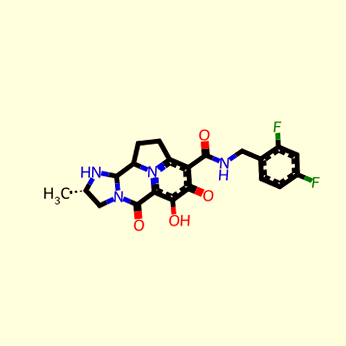 C[C@H]1CN2C(=O)c3c(O)c(=O)c(C(=O)NCc4ccc(F)cc4F)c4n3C(CC4)C2N1